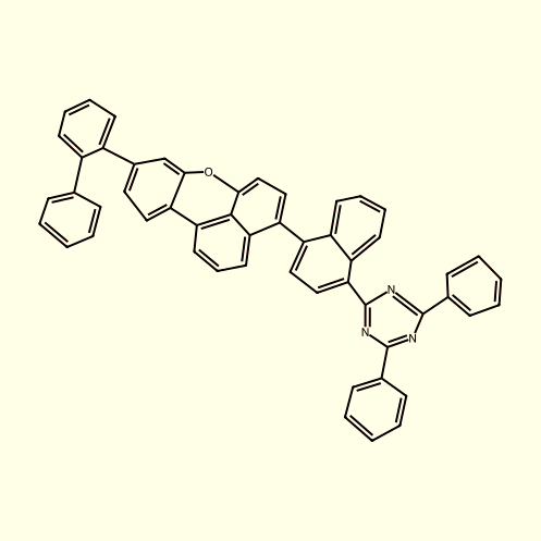 c1ccc(-c2nc(-c3ccccc3)nc(-c3ccc(-c4ccc5c6c(cccc46)-c4ccc(-c6ccccc6-c6ccccc6)cc4O5)c4ccccc34)n2)cc1